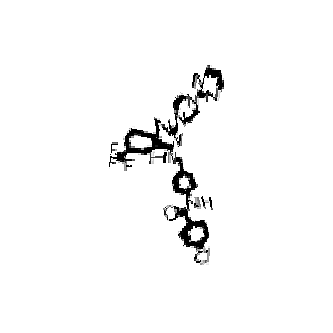 O=C(Nc1ccc(CNc2nc(N3CCN(c4ncccn4)CC3)nc3ccc(C(F)(F)F)cc23)cc1)c1ccc(Cl)cc1